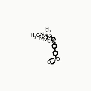 Cc1nc2nc(C)c(OC3CCN(c4ccc(C5CCC(C(=O)N6CCCOCC6)CC5)cc4)C3)c(C)n2n1